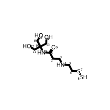 O=C(CCNCCSS)NC(CO)(CO)CO